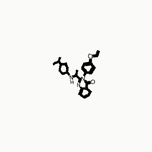 CCOc1ccc(-n2c(C(C)NC3CCC(C(C)C)CC3)nc3ccccc3c2=O)cc1